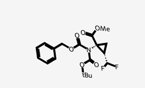 COC(=O)[C@@]1(N(C(=O)OCc2ccccc2)C(=O)OC(C)(C)C)C[C@@H]1C(F)F